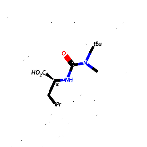 CC(C)C[C@H](NC(=O)N(C)C(C)(C)C)C(=O)O